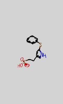 O=S(=O)(O)CCc1c[nH]c(Sc2ccccc2)c1